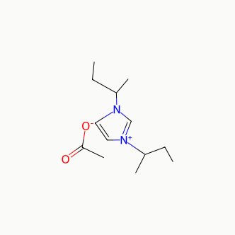 CC(=O)[O-].CCC(C)n1cc[n+](C(C)CC)c1